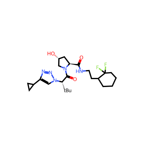 CC(C)(C)[C@@H](C(=O)N1C[C@H](O)C[C@H]1C(=O)NCCC1CCCCC1(F)F)n1cc(C2CC2)nn1